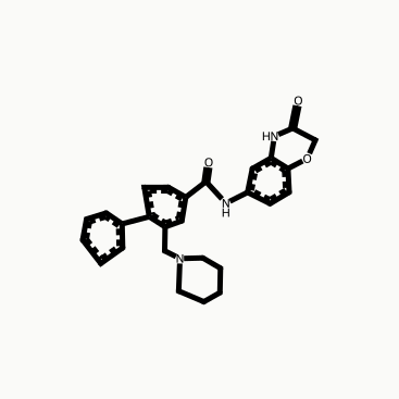 O=C1COc2ccc(NC(=O)c3ccc(-c4ccccc4)c(CN4CCCCC4)c3)cc2N1